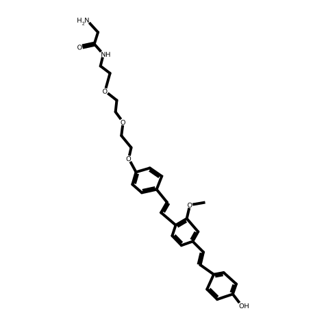 COc1cc(/C=C/c2ccc(O)cc2)ccc1/C=C/c1ccc(OCCOCCOCCNC(=O)CN)cc1